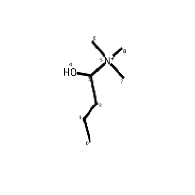 CCCC(O)[N+](C)(C)C